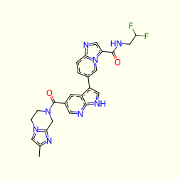 Cc1cn2c(n1)CN(C(=O)c1cnc3[nH]cc(-c4ccc5ncc(C(=O)NCC(F)F)n5c4)c3c1)CC2